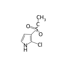 CCS(=O)(=O)c1cc[nH]c1Cl